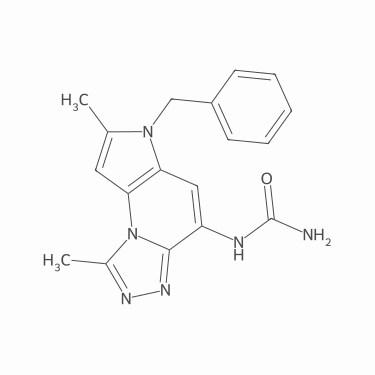 Cc1cc2c(cc(NC(N)=O)c3nnc(C)n32)n1Cc1ccccc1